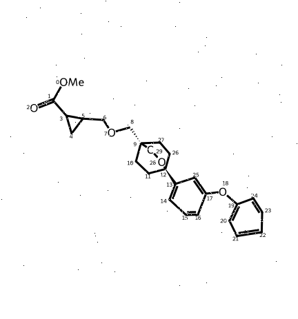 COC(=O)C1CC1COC[C@]12CC[C@@](c3cccc(Oc4ccccc4)c3)(CC1)OC2